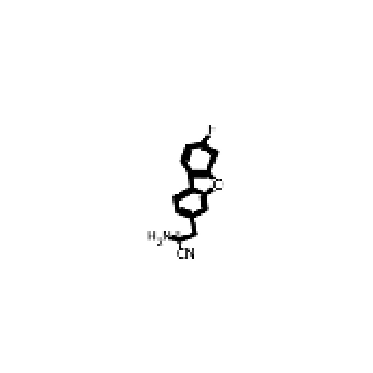 N#C[C@@H](N)Cc1ccc2c(c1)oc1cc(F)ccc12